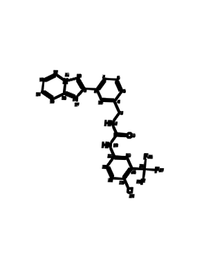 O=C(NCc1cccc(-c2cn3ccccc3n2)c1)Nc1ccc(Cl)c(C(F)(F)F)c1